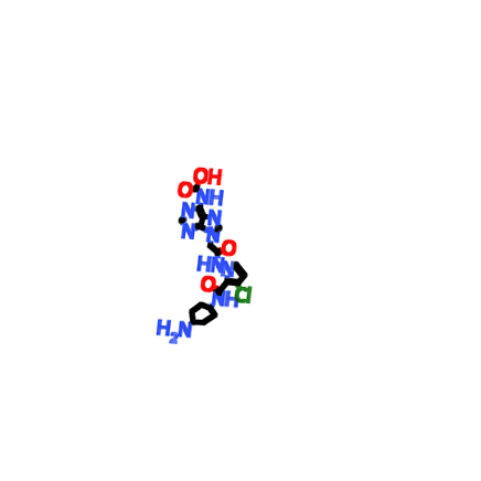 NC1CCC(NC(=O)c2c(Cl)ccn2NC(=O)Cn2cnc3c(NC(=O)O)ncnc32)CC1